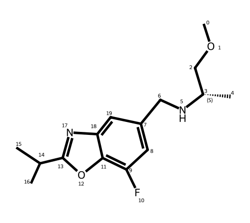 COC[C@H](C)NCc1cc(F)c2oc(C(C)C)nc2c1